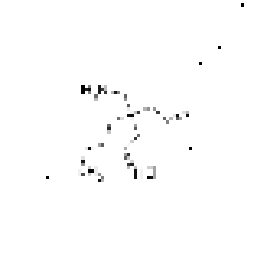 C=CCC(CN)(CC=C)CCCN.Cl